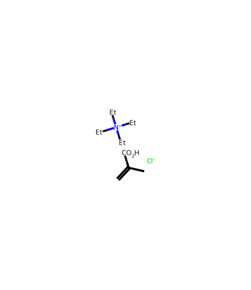 C=C(C)C(=O)O.CC[N+](CC)(CC)CC.[Cl-]